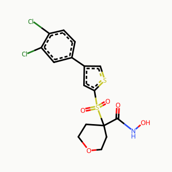 O=C(NO)C1(S(=O)(=O)c2cc(-c3ccc(Cl)c(Cl)c3)cs2)CCOCC1